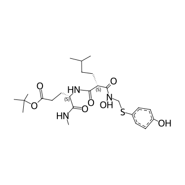 CNC(=O)[C@H](CCC(=O)OC(C)(C)C)NC(=O)[C@H](CCC(C)C)C(=O)N(O)CSc1ccc(O)cc1